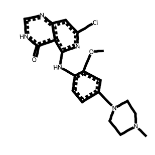 COc1cc(N2CCN(C)CC2)ccc1Nc1nc(Cl)cc2nc[nH]c(=O)c12